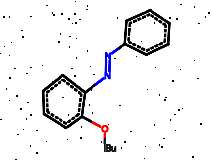 CCC(C)Oc1ccccc1N=Nc1ccccc1